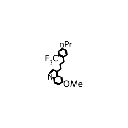 [CH2]CCc1ccc(CCCc2ccnc3ccc(OC)cc23)c(C(F)(F)F)c1